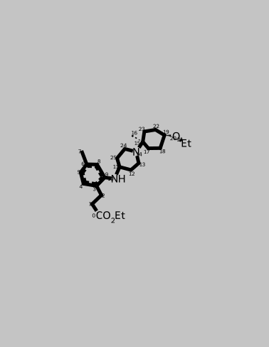 CCOC(=O)CCc1ccc(C)cc1NC1CCN([C@]2(C)CC[C@@H](OCC)CC2)CC1